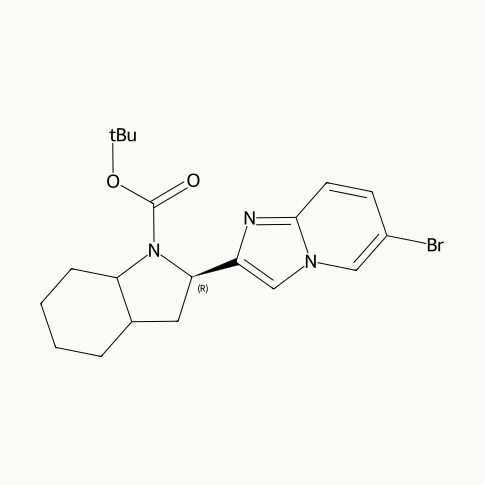 CC(C)(C)OC(=O)N1C2CCCCC2C[C@@H]1c1cn2cc(Br)ccc2n1